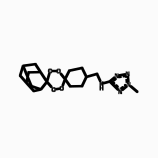 Cn1nnc(NCC2CCC3(CC2)OOC2(OO3)C3CC4CC(C3)CC2C4)n1